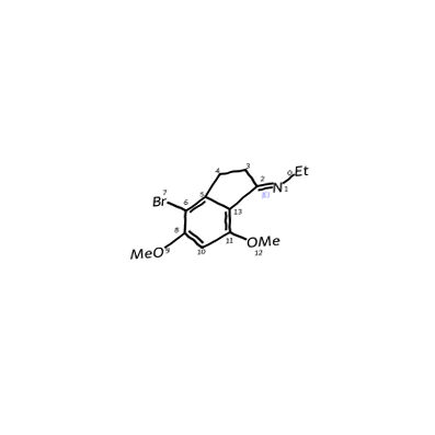 CC/N=C1\CCc2c(Br)c(OC)cc(OC)c21